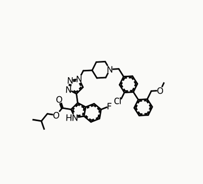 COCc1ccccc1-c1ccc(CN2CCC(Cn3cc(-c4c(C(=O)OCC(C)C)[nH]c5ccc(F)cc45)nn3)CC2)cc1Cl